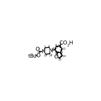 CC(C)(C)OC(=O)N1CCN(c2cc(C(=O)O)cc3ccoc23)CC1